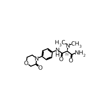 CN(C)[C@@H](C(N)=O)C(=O)Nc1ccc(N2CCOCC2=O)cc1